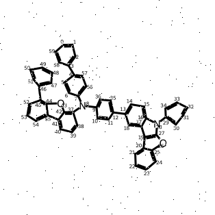 c1ccc(-c2ccc(N(c3ccc(-c4ccc5c(c4)c4c6ccccc6oc4n5-c4ccccc4)cc3)c3cccc4c3oc3c(-c5ccccc5)cccc34)cc2)cc1